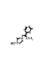 O[C@H]1CCN(CC([AsH2])c2ccccc2)C1